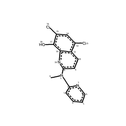 CN(c1ccccn1)c1ccc2c(Cl)cc(Cl)c(O)c2n1